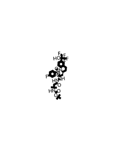 CC(C)(CC(=O)NNC(=O)C[C@@H]1CCc2cc(C(O)(CF)C(F)(F)F)ccc2N1S(=O)(=O)c1ccc(F)cc1)NC(=O)OC(C)(C)C